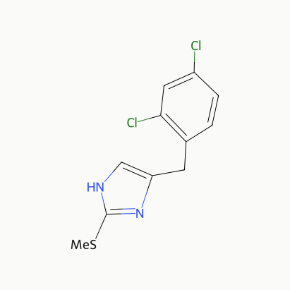 CSc1nc(Cc2ccc(Cl)cc2Cl)c[nH]1